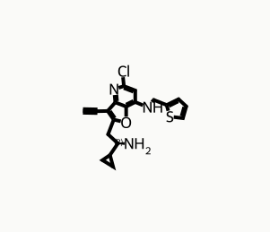 C#Cc1c(C[C@@H](N)C2CC2)oc2c(NCc3cccs3)cc(Cl)nc12